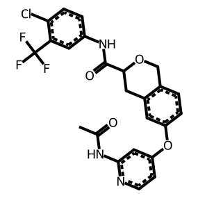 CC(=O)Nc1cc(Oc2ccc3c(c2)CC(C(=O)Nc2ccc(Cl)c(C(F)(F)F)c2)OC3)ccn1